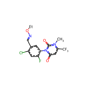 CCON=Cc1cc(-n2c(=O)cc(C(F)(F)F)n(C)c2=O)c(F)cc1Cl